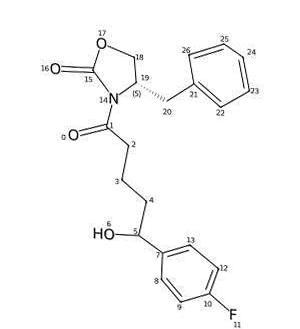 O=C(CCCC(O)c1ccc(F)cc1)N1C(=O)OC[C@@H]1Cc1ccccc1